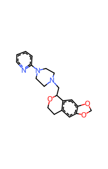 c1ccc(N2CCN(CC3OCCc4cc5c(cc43)OCO5)CC2)nc1